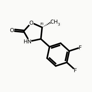 C[C@H]1OC(=O)NC1c1ccc(F)c(F)c1